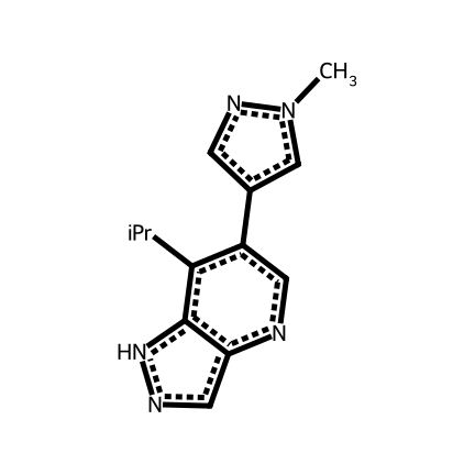 CC(C)c1c(-c2cnn(C)c2)cnc2cn[nH]c12